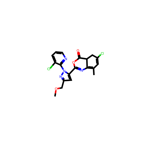 COCc1cc(C2=NC3=C(C)C=C(Cl)CC3C(=O)O2)n(-c2ncccc2Cl)n1